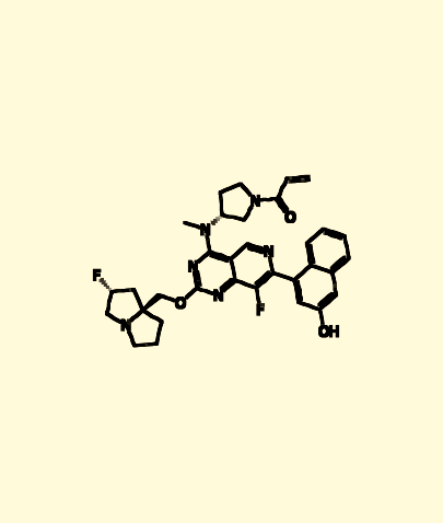 C=CC(=O)N1CC[C@@H](N(C)c2nc(OC[C@@]34CCCN3C[C@H](F)C4)nc3c(F)c(-c4cc(O)cc5ccccc45)ncc23)C1